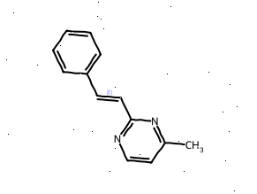 Cc1ccnc(/C=C/c2ccccc2)n1